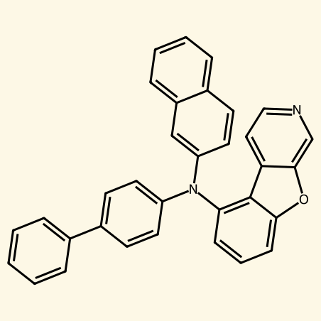 c1ccc(-c2ccc(N(c3ccc4ccccc4c3)c3cccc4oc5cnccc5c34)cc2)cc1